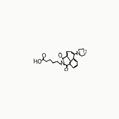 O=C(O)CCCCCN1C(=O)c2cccc3c(N4CCOCC4)ccc(c23)C1=O